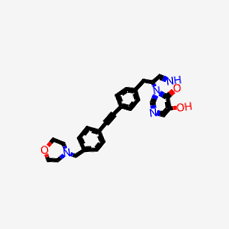 N=CC(Cc1ccc(C#Cc2ccc(CN3CCOCC3)cc2)cc1)n1cncc(O)c1=O